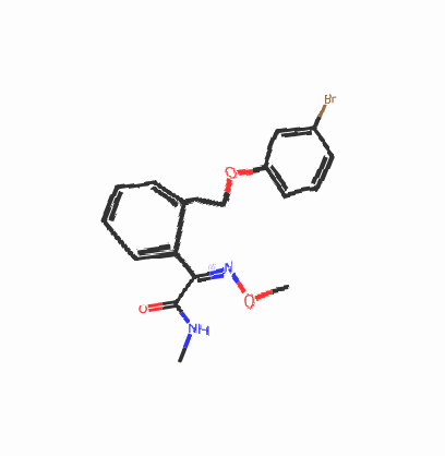 CNC(=O)/C(=N\OC)c1ccccc1COc1cccc(Br)c1